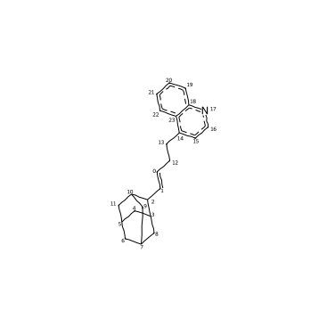 C(=C\C1C2CC3CC(C2)CC1C3)/CCc1ccnc2ccccc12